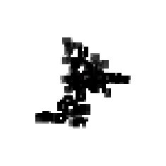 CCCCOC(=O)[C@H](NC(=O)Oc1ccc2c3c1O[C@H]1[C@]4(OC)CC[C@@]5(C[C@@H]4[C@@](C)(O)C(C)(C)C)[C@@H](C2)N(CC2CC2)CC[C@]315)C(C)C